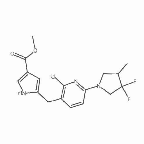 COC(=O)c1c[nH]c(Cc2ccc(N3CC(C)C(F)(F)C3)nc2Cl)c1